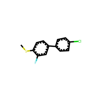 CSc1ccc(-c2ccc(Cl)cc2)cc1F